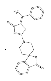 C/C(=C1/SC(N2CCC3(CC2)OC(=O)c2ccccc23)=NC1=O)c1ccccc1